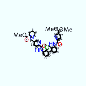 COC(=O)[C@@H]1CCCCN1Cc1ccc(C(=O)Nc2cccc(-c3cccc(NC(=O)c4ccc(C(OC)OC)cn4)c3C)c2Cl)nc1